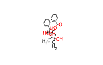 CCC(C)(O)C(C)O.O=C(O)c1ccccc1.O=C(O)c1ccccc1